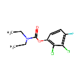 CCN(CC)C(=O)Oc1ccc(F)c(Cl)c1Cl